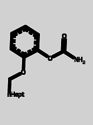 CCCCCCCCOc1ccccc1OC(N)=O